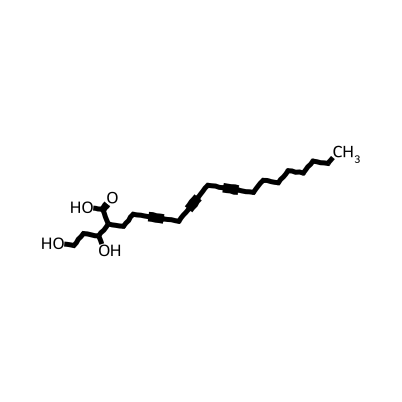 CCCCCCCCC#CCC#CCC#CCCC(C(=O)O)C(O)CCO